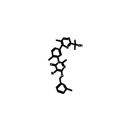 Cc1cccc(COc2nc(C)n(-c3cc(-c4nc(C(C)(C)O)ncc4C)ccc3C)c(=O)c2Br)c1